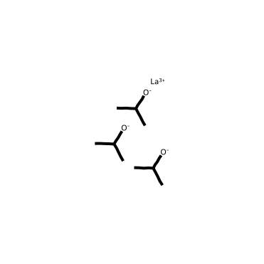 CC(C)[O-].CC(C)[O-].CC(C)[O-].[La+3]